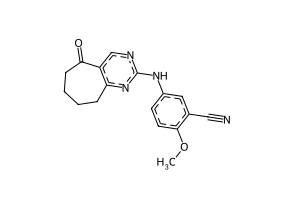 COc1ccc(Nc2ncc3c(n2)CCCCC3=O)cc1C#N